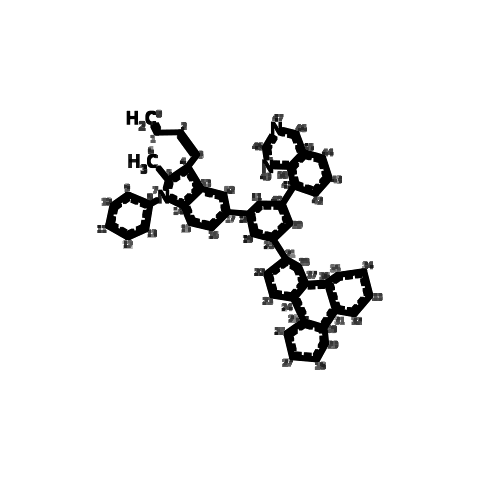 C=C/C=C\c1c(C)n(-c2ccccc2)c2ccc(-c3cc(-c4ccc5c6ccccc6c6ccccc6c5c4)cc(-c4cccc5cncnc45)c3)cc12